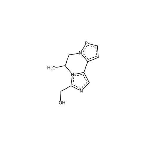 CC1Cn2pccc2-c2cnc(CO)n21